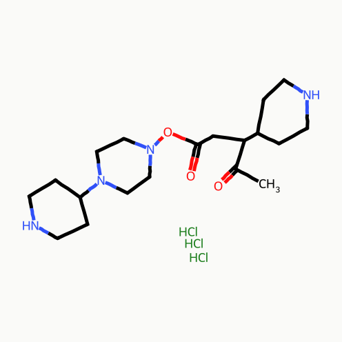 CC(=O)C(CC(=O)ON1CCN(C2CCNCC2)CC1)C1CCNCC1.Cl.Cl.Cl